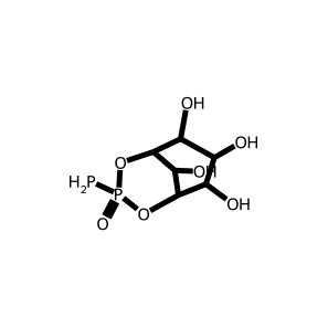 O=P1(P)OC2C(O)C(O)C(O)C(O1)C2O